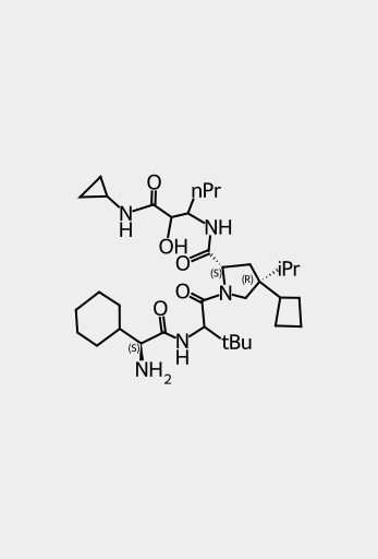 CCCC(NC(=O)[C@@H]1C[C@@](C(C)C)(C2CCC2)CN1C(=O)C(NC(=O)[C@@H](N)C1CCCCC1)C(C)(C)C)C(O)C(=O)NC1CC1